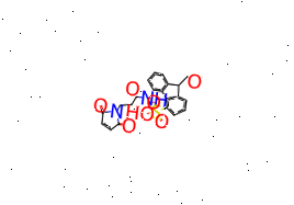 COCC1c2cccc(NC(=O)CCN3C(=O)C=CC3=O)c2-c2c1cccc2S(=O)(=O)O